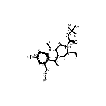 CC[C@H]1CN(C(C)c2ccc(F)cc2COC)[C@H](CC)CN1C(=O)OC(C)(C)C